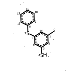 Cc1cc(S)cc(Sc2ccccc2)c1